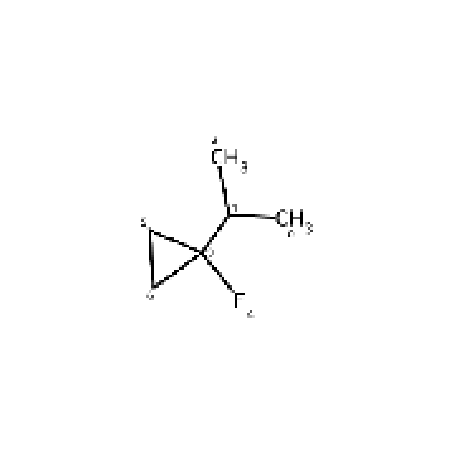 CC(C)C1(F)CC1